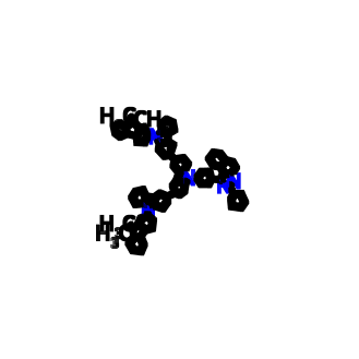 CC1(C)c2ccccc2-c2ccc(-n3c4ccccc4c4cc(-c5ccc6c(c5)c5cc(-c7ccc8c(c7)c7ccccc7n8-c7ccc8c(c7)C(C)(C)c7ccccc7-8)ccc5n6-c5ccc(-c6nc(-c7ccccc7)nc7ccc8ccccc8c67)cc5)ccc43)cc21